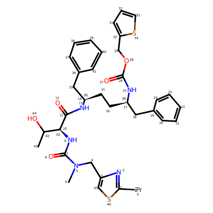 CC(C)c1nc(CN(C)C(=O)N[C@H](C(=O)N[C@H](CC[C@H](Cc2ccccc2)NC(=O)OCc2cccs2)Cc2ccccc2)C(C)O)cs1